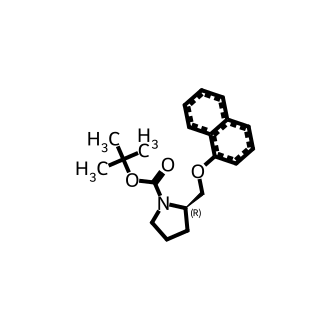 CC(C)(C)OC(=O)N1CCC[C@@H]1COc1cccc2ccccc12